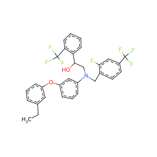 CCc1cccc(Oc2cccc(N(Cc3ccc(C(F)(F)F)cc3F)CC(O)c3ccccc3C(F)(F)F)c2)c1